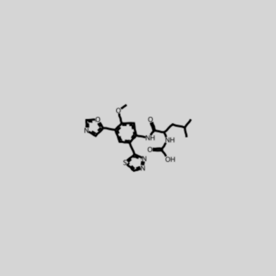 COc1cc(NC(=O)C(CC(C)C)NC(=O)O)c(-c2nncs2)cc1-c1cnco1